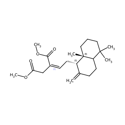 C=C1CCC2C(C)(C)CCC[C@@]2(C)[C@H]1C/C=C(/CC(=O)OC)C(=O)OC